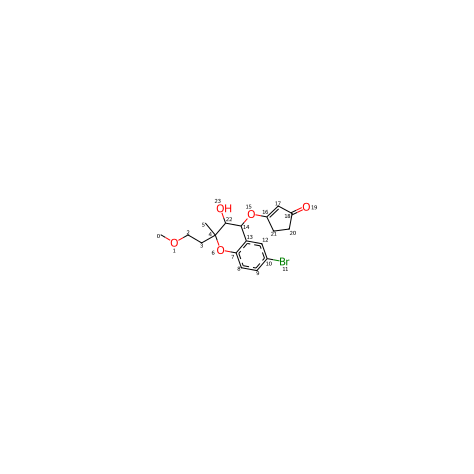 COCCC1(C)Oc2ccc(Br)cc2C(OC2=CC(=O)CC2)C1O